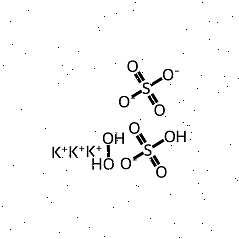 O=S(=O)([O-])O.O=S(=O)([O-])[O-].OO.[K+].[K+].[K+]